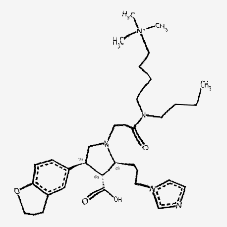 CCCCN(CCCC[N+](C)(C)C)C(=O)CN1C[C@H](c2ccc3c(c2)CCO3)[C@@H](C(=O)O)[C@@H]1CCn1ccnc1